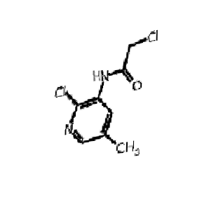 Cc1cnc(Cl)c(NC(=O)CCl)c1